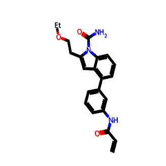 C=CC(=O)Nc1cccc(-c2cccc3c2cc(CCOCC)n3C(N)=O)c1